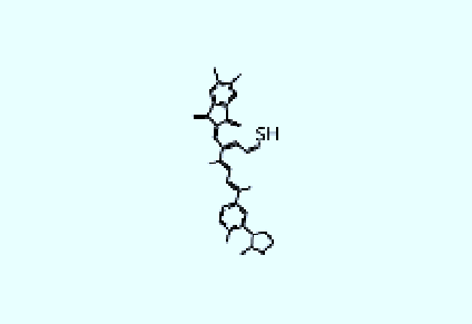 C=C1C(=CC(=C/C=C\S)/C(C)=C/C=C(\C)c2ccc(C)c(C3CCCC3C)c2)C(=C)c2cc(C)c(C)cc21